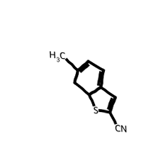 CC1=CC=C2C=C(C#N)SC2C1